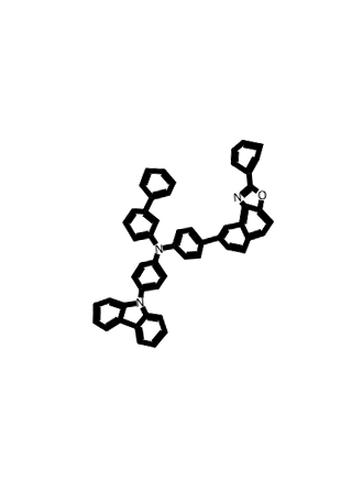 c1ccc(-c2cccc(N(c3ccc(-c4ccc5ccc6oc(-c7ccccc7)nc6c5c4)cc3)c3ccc(-n4c5ccccc5c5ccccc54)cc3)c2)cc1